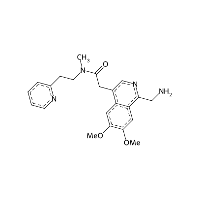 COc1cc2c(CC(=O)N(C)CCc3ccccn3)cnc(CN)c2cc1OC